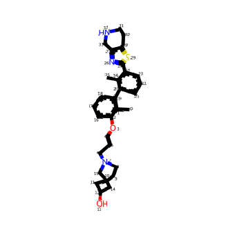 Cc1c(OCCCN2CCC3(CC(O)C3)C2)cccc1-c1cccc(-c2nc3c(s2)CCNC3)c1C